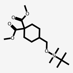 COC(=O)C1(C(=O)OC)CCC(CO[Si](C)(C)C(C)(C)C)CC1